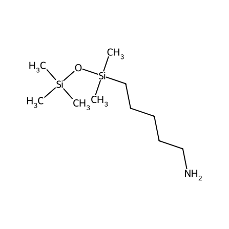 C[Si](C)(C)O[Si](C)(C)CCCCCN